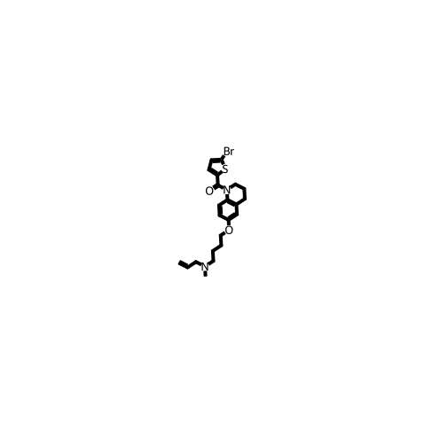 C=CCN(C)CCCCOc1ccc2c(c1)CCCN2C(=O)c1ccc(Br)s1